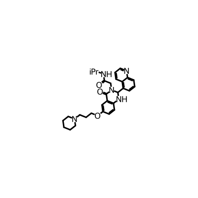 CC(C)NC(=O)CN1C(=O)c2cc(OCCCN3CCCCC3)ccc2NC1c1cccc2ncccc12